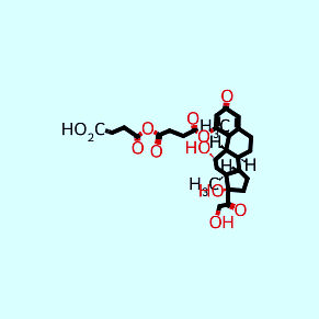 C[C@@]12C(=CC(=O)C=C1OC(=O)CCC(=O)OC(=O)CCC(=O)O)CC[C@@H]1[C@@H]2[C@@H](O)C[C@@]2(C)[C@H]1CC[C@]2(O)C(=O)CO